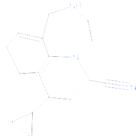 N#CC1=CC(C2CC2)C2=C3C(=CCC2)CNCCN13